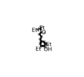 CCc1cc(CCCC(=O)N(CC)CC)cc(CC)c1O